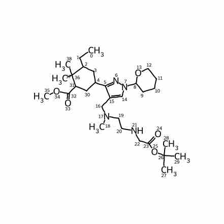 CCC1CC(c2nn(C3CCCCO3)cc2CN(C)CCNCC(=O)OC(C)(C)C)CC(C(=O)OC)C1(C)C